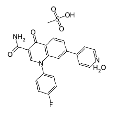 CS(=O)(=O)O.NC(=O)c1cn(-c2ccc(F)cc2)c2cc(-c3ccncc3)ccc2c1=O.O